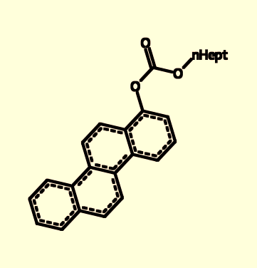 CCCCCCCOC(=O)Oc1cccc2c1ccc1c3ccccc3ccc21